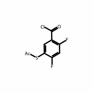 CC(=O)Sc1cc(C(=O)Cl)c(F)cc1F